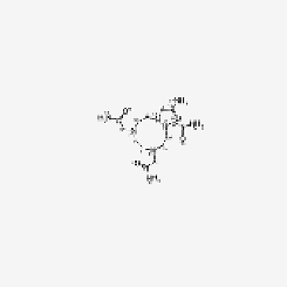 NC(=O)CN1CCN(CC(N)=O)CCN(CC(N)=O)N(CC(N)=O)CC1